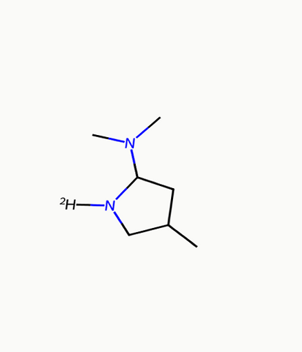 [2H]N1CC(C)CC1N(C)C